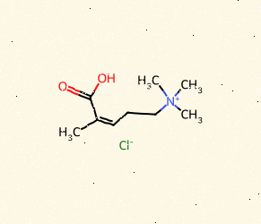 CC(=CCC[N+](C)(C)C)C(=O)O.[Cl-]